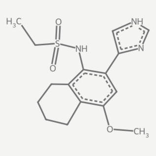 CCS(=O)(=O)Nc1c(-c2c[nH]cn2)cc(OC)c2c1CCCC2